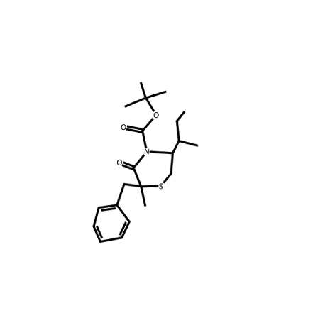 CCC(C)C1CSC(C)(Cc2ccccc2)C(=O)N1C(=O)OC(C)(C)C